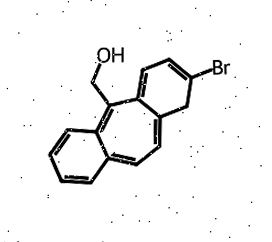 OCC1=c2ccccc2=CC=C2CC(Br)=CC=C21